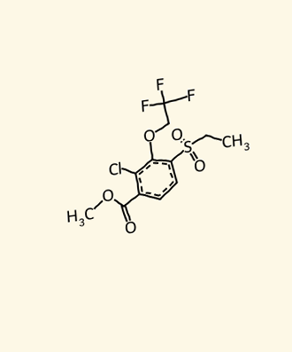 CCS(=O)(=O)c1ccc(C(=O)OC)c(Cl)c1OCC(F)(F)F